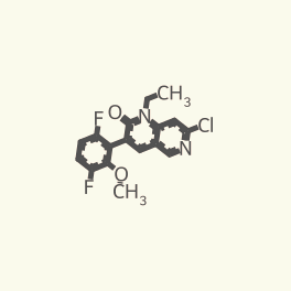 CCn1c(=O)c(-c2c(F)ccc(F)c2OC)cc2cnc(Cl)cc21